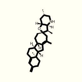 C=C1C=C2CC[C@H]3[C@@H]4CC[C@@]5(CC(C)=C4C[C@@H]3[C@@]2(C)CC1)O[C@@H]1C[C@H](C)CN[C@H]1[C@H]5C